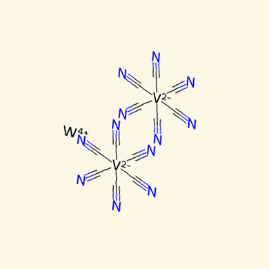 N#[C][V-2]([C]#N)([C]#N)([C]#N)([C]#N)[C]#N.N#[C][V-2]([C]#N)([C]#N)([C]#N)([C]#N)[C]#N.[W+4]